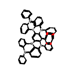 c1ccc(-c2c3c(cc4c2N(c2ccccc2)c2cccc5c2B4c2ccccc2N5c2ccccc2)B2c4ccccc4N(c4ccccc4)c4cccc(c42)N3c2ccccc2)cc1